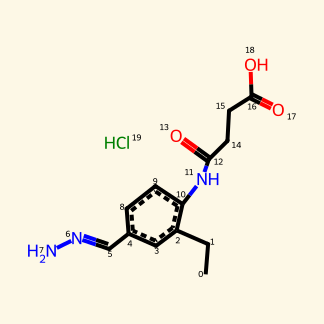 CCc1cc(C=NN)ccc1NC(=O)CCC(=O)O.Cl